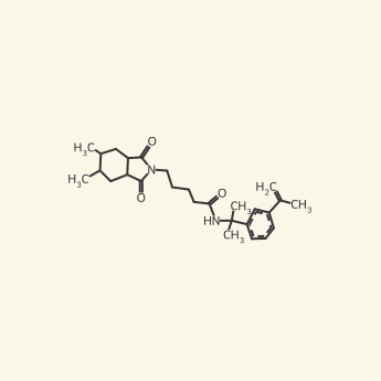 C=C(C)c1cccc(C(C)(C)NC(=O)CCCCN2C(=O)C3CC(C)C(C)CC3C2=O)c1